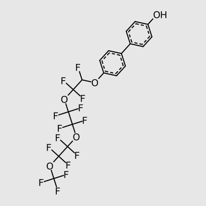 Oc1ccc(-c2ccc(OC(F)C(F)(F)OC(F)(F)C(F)(F)OC(F)(F)C(F)(F)OC(F)(F)F)cc2)cc1